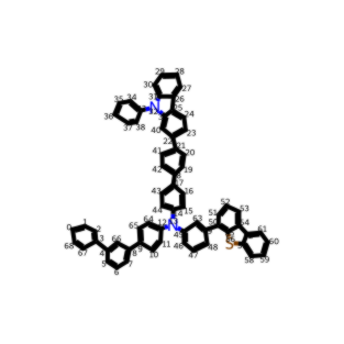 c1ccc(-c2cccc(-c3ccc(N(c4ccc(-c5ccc(-c6ccc7c8ccccc8n(-c8ccccc8)c7c6)cc5)cc4)c4cccc(-c5cccc6c5sc5ccccc56)c4)cc3)c2)cc1